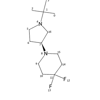 CC(C)(C)N1CC[C@H](N2CCC(F)(F)CC2)C1